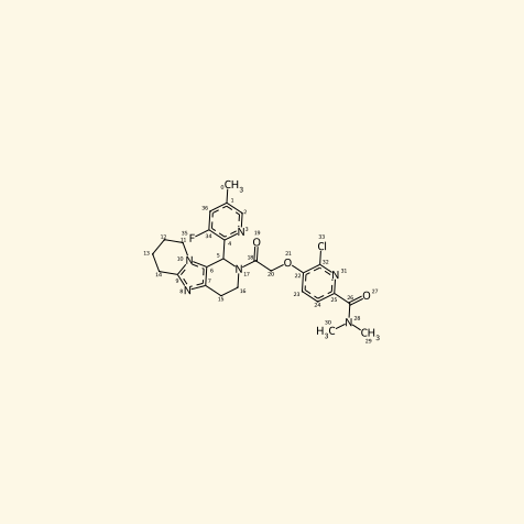 Cc1cnc(C2c3c(nc4n3CCCC4)CCN2C(=O)COc2ccc(C(=O)N(C)C)nc2Cl)c(F)c1